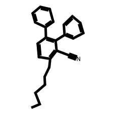 CCCCCCc1ccc(-c2ccccc2)c(-c2ccccc2)c1C#N